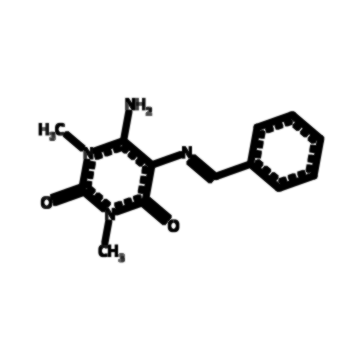 Cn1c(N)c(N=Cc2ccccc2)c(=O)n(C)c1=O